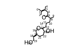 CC(C)=C(C)CC(=O)C(C)CCC[C@]1(C)OC/C(=C/CO)CC[C@H]1O